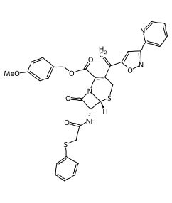 C=C(C1=C(C(=O)OCc2ccc(OC)cc2)N2C(=O)[C@@H](NC(=O)CSc3ccccc3)[C@H]2SC1)c1cc(-c2ccccn2)no1